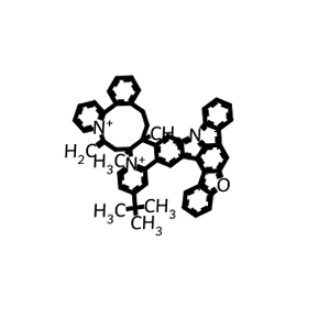 C=C1CC2(C)[n+]3ccc(C(C)(C)C)cc3-c3cc4c5c6c(cc7c8ccccc8n(c4cc3C2(C)CCc2ccccc2-c2cccc[n+]21)c75)oc1ccccc16